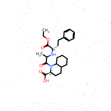 CCOC(=O)[C@H](CCc1ccccc1)NC(C)C(=O)N1C2CCCCC2CC[C@H]1C(=O)O